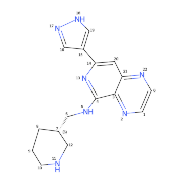 c1cnc2c(NC[C@H]3CCCNC3)nc(-c3cn[nH]c3)cc2n1